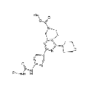 CCNC(=O)Nc1ccc(-c2nc3c(c(N4CCOCC4)n2)CCN(C(=O)OC(C)(C)C)C3)cn1